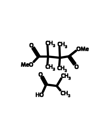 CC(C)C(=O)O.COC(=O)C(C)(C)C(C)(C)C(=O)OC